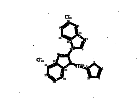 C1=CC[C]([Ti+2][CH]2C(n3cnc4ccccc43)=Cc3ccccc32)=C1.[Cl-].[Cl-]